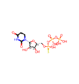 O=c1ccn([C@@H]2O[C@H](COP(O)(=S)OP(=O)(O)OP(=O)(O)O)[C@@H](O)[C@H]2O)c(=O)[nH]1